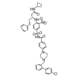 O=C(C[C@H](CSc1ccccc1)Nc1ccc(S(=O)(=O)NC(=O)c2ccc(N3CCN(Cc4ccccc4-c4ccc(Cl)cc4)CC3)cc2)cc1[N+](=O)[O-])NC1CCC1